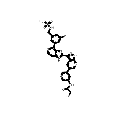 CC(C)CC(=O)Nc1cncc(-c2cnc3[nH]nc(-c4nc5c(-c6cc(F)cc(CNS(C)(=O)=O)c6)nccc5[nH]4)c3c2)c1